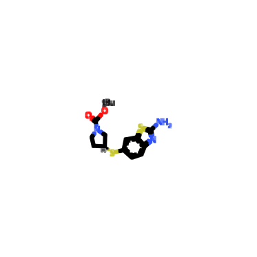 CC(C)(C)OC(=O)N1CC[C@@H](Sc2ccc3nc(N)sc3c2)C1